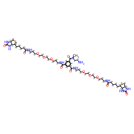 CN(CCN)C(=O)c1cc(C(=O)NCCCOCCOCCOCCCNC(=O)CCCCC2SCC3NC(=O)NC32)cc(C(=O)NCCCOCCOCCOCCCNC(=O)CCCCC2SCC3NC(=O)NC32)c1